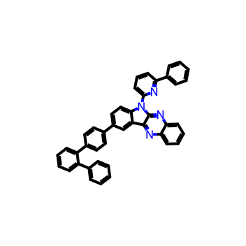 c1ccc(-c2cccc(-n3c4ccc(-c5ccc(-c6ccccc6-c6ccccc6)cc5)cc4c4nc5ccccc5nc43)n2)cc1